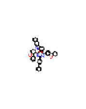 C=C1C=C(c2c(-n3c4ccccc4c4cc5ccccc5cc43)ccc3oc4ccccc4c23)N=C(c2ccc(-c3ccccc3)cc2)N=C1c1ccc2c(c1)oc1ccccc12